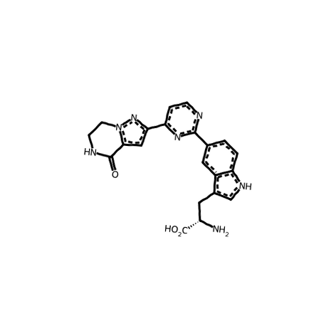 N[C@@H](Cc1c[nH]c2ccc(-c3nccc(-c4cc5n(n4)CCNC5=O)n3)cc12)C(=O)O